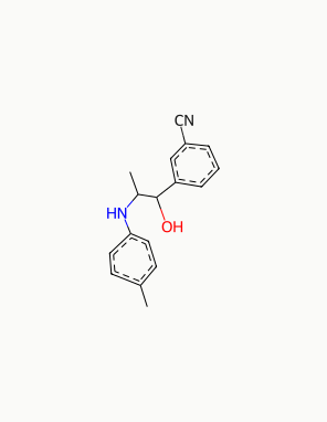 Cc1ccc(NC(C)C(O)c2cccc(C#N)c2)cc1